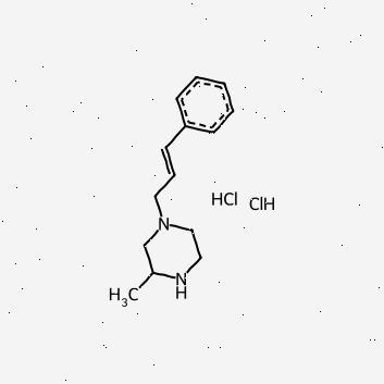 CC1CN(CC=Cc2ccccc2)CCN1.Cl.Cl